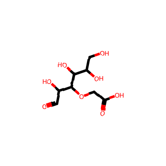 O=CC(O)C(OCC(=O)O)C(O)C(O)CO